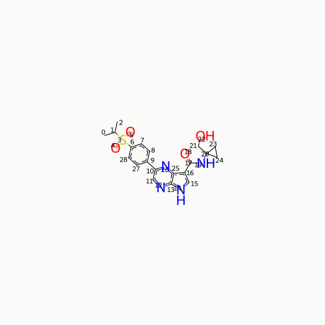 CC(C)S(=O)(=O)c1ccc(-c2cnc3[nH]cc(C(=O)NC4(CO)CC4)c3n2)cc1